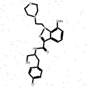 COc1cccc2c(C(=O)NC(CO)Cc3ccc(Cl)cc3)nn(CCN3CCOCC3)c12